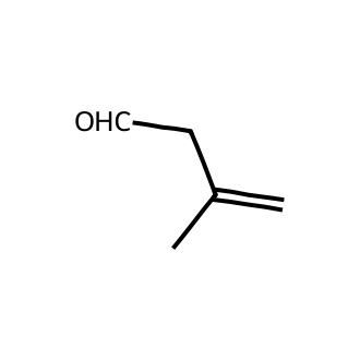 C=C(C)CC=O